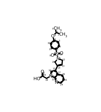 CC(C)Oc1ccc(S(=O)(=O)N2CC=C(c3cn(CC(=O)O)c4ncccc34)C2)cc1